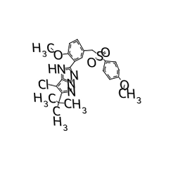 COc1ccc(S(=O)(=O)Cc2ccc(OC)c(-c3nn4nc(C(C)(C)C)c(Cl)c4[nH]3)c2)cc1